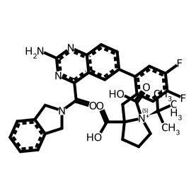 CC(C)(C)[N@@+]1(C(=O)O)CCCC1(Cc1cc(F)c(F)cc1-c1ccc2nc(N)nc(C(=O)N3Cc4ccccc4C3)c2c1)C(=O)O